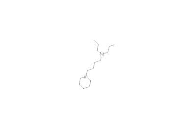 CCCN(CCC)CCC[CH2][In]1[CH2]CCC[CH2]1